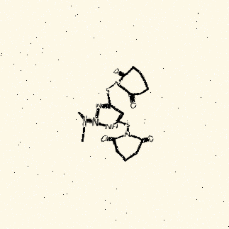 CN(C)N1N=C(SN2C(=O)CCCC2=O)C=C(SN2C(=O)CCCC2=O)N1